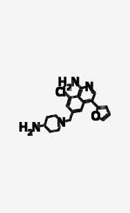 Nc1ncc(-c2ccco2)c2cc(CN3CCC(N)CC3)cc(Cl)c12